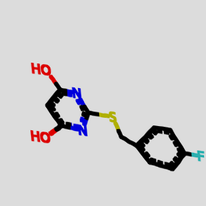 Oc1cc(O)nc(SCc2ccc(F)cc2)n1